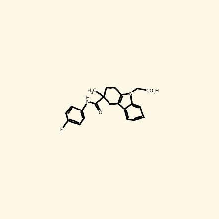 CC1(C(=O)Nc2ccc(F)cc2)CCc2c(c3ccccc3n2CC(=O)O)C1